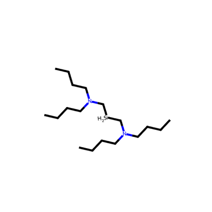 CCCCN(CCCC)C[SiH2]CN(CCCC)CCCC